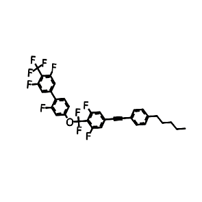 CCCCCc1ccc(C#Cc2cc(F)c(C(F)(F)Oc3ccc(-c4cc(F)c(C(F)(F)F)c(F)c4)c(F)c3)c(F)c2)cc1